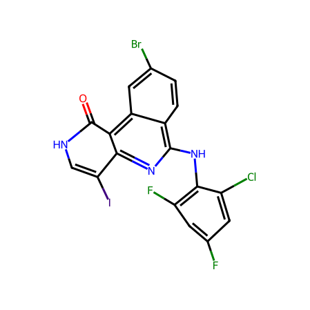 O=c1[nH]cc(I)c2nc(Nc3c(F)cc(F)cc3Cl)c3ccc(Br)cc3c12